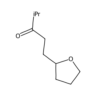 CC(C)C(=O)CCC1CCCO1